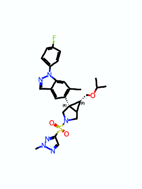 Cc1cc2c(cnn2-c2ccc(F)cc2)cc1[C@@]12CN(S(=O)(=O)c3cnn(C)n3)CC1[C@H]2COC(C)C